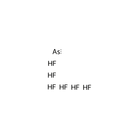 F.F.F.F.F.F.[As]